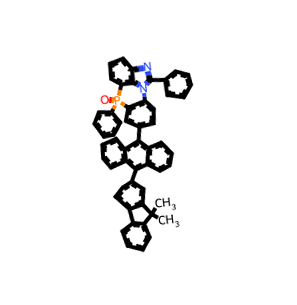 CC1(C)c2ccccc2-c2ccc(-c3c4ccccc4c(-c4ccc5c(c4)P(=O)(c4ccccc4)c4cccc6nc(-c7ccccc7)n-5c46)c4ccccc34)cc21